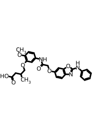 COc1ccc(NC(=O)COc2ccc3nc(Nc4ccccc4)oc3c2)cc1OCC(C)CC(=O)O